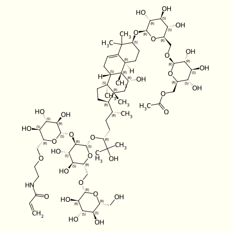 C=CC(=O)NCCOC[C@H]1O[C@@H](O[C@H]2[C@H](O[C@H](CC[C@@H](C)[C@H]3CC[C@@]4(C)[C@@H]5CC=C6[C@@H](CC[C@H](O[C@@H]7O[C@H](CO[C@@H]8O[C@H](COC(C)=O)[C@@H](O)[C@H](O)[C@H]8O)[C@@H](O)[C@H](O)[C@H]7O)C6(C)C)[C@]5(C)[C@H](O)C[C@]34C)C(C)(C)O)O[C@H](CO[C@@H]3O[C@H](CO)[C@@H](O)[C@H](O)[C@H]3O)[C@@H](O)[C@@H]2O)[C@H](O)[C@@H](O)[C@@H]1O